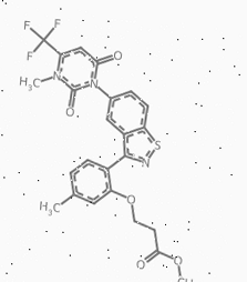 COC(=O)CCOc1cc(C)ccc1-c1nsc2ccc(-n3c(=O)cc(C(F)(F)F)n(C)c3=O)cc12